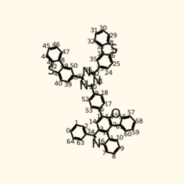 c1ccc(-c2nc3ccccc3c3c2cc(-c2ccc(-c4nc(-c5ccc6sc7ccccc7c6c5)nc(-c5ccc6sc7ccccc7c6c5)n4)cc2)c2oc4ccccc4c23)cc1